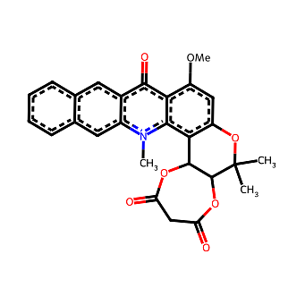 COc1cc2c(c3c1c(=O)c1cc4ccccc4cc1n3C)C1OC(=O)CC(=O)OC1C(C)(C)O2